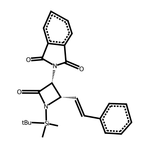 CC(C)(C)[Si](C)(C)N1C(=O)[C@H](N2C(=O)c3ccccc3C2=O)[C@@H]1C=Cc1ccccc1